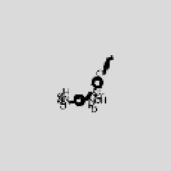 CCC#CCOc1ccc([S+]([O-])CC(c2ccc(CNS(C)(=O)=O)cc2)N(O)C=O)cc1